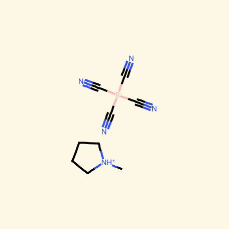 C[NH+]1CCCC1.N#C[B-](C#N)(C#N)C#N